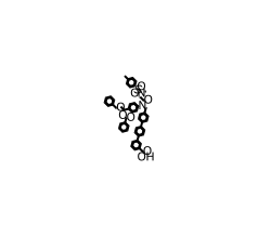 Cc1ccc(S(=O)(=O)N(C)CC(=O)N(Cc2ccc(-c3ccc(-c4cccc(C(=O)O)c4)cc3)cc2)c2ccc(C(=O)OCc3ccccc3)c(OCc3ccccc3)c2)cc1